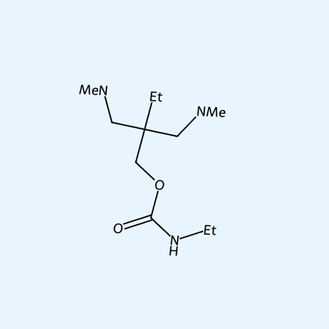 CCNC(=O)OCC(CC)(CNC)CNC